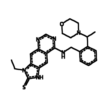 CCn1c(=S)[nH]c2cc3c(NCc4ccccc4C(C)N4CCOCC4)ncnc3cc21